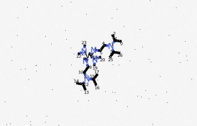 CC(C)N(CC[N]=[W](=[N]CCN(C(C)C)C(C)C)([N](C)C)[N](C)C)C(C)C